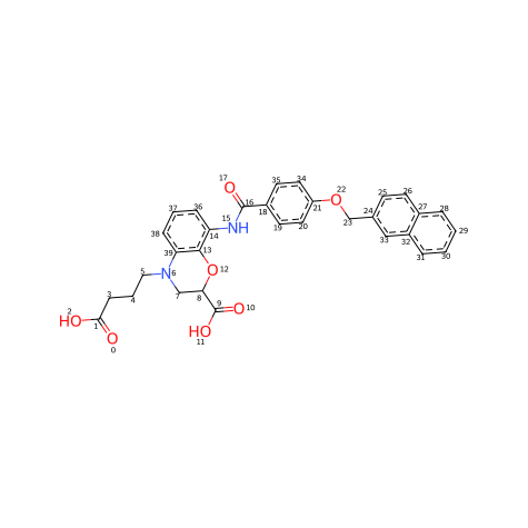 O=C(O)CCCN1CC(C(=O)O)Oc2c(NC(=O)c3ccc(OCc4ccc5ccccc5c4)cc3)cccc21